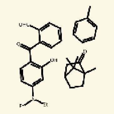 CC12CCC(CC1=O)C2(C)C.CCN(CC)c1ccc(C(=O)c2ccccc2C=O)c(O)c1.Cc1ccccc1